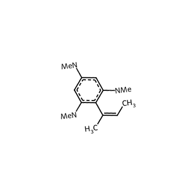 C/C=C(/C)c1c(NC)cc(NC)cc1NC